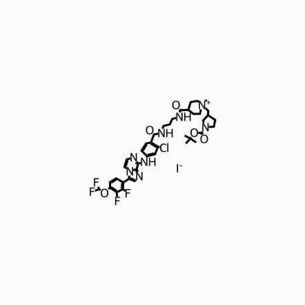 CC(C)(C)OC(=O)N1CCC(C[N+]2(C)CCC(C(=O)NCCCNC(=O)c3ccc(Nc4nccn5c(-c6ccc(OC(F)F)c(F)c6F)cnc45)cc3Cl)CC2)C1.[I-]